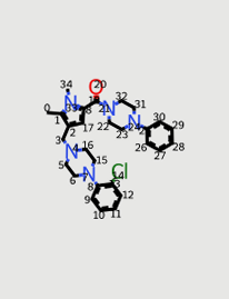 Cc1c(CN2CCN(c3ccccc3Cl)CC2)cc(C(=O)N2CCN(c3ccccc3)CC2)n1C